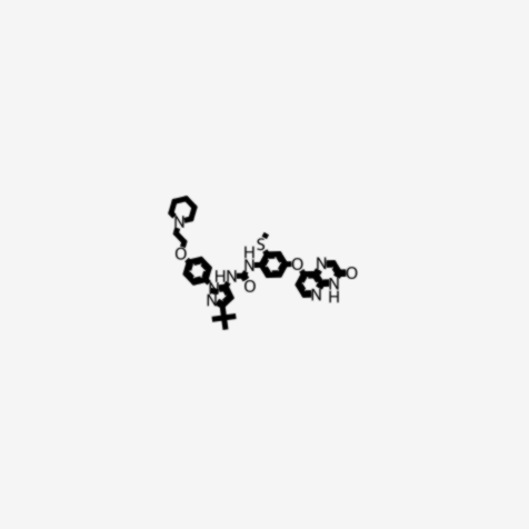 CSc1cc(Oc2ccnc3[nH]c(=O)cnc23)ccc1NC(=O)Nc1cc(C(C)(C)C)nn1-c1ccc(OCCN2CCCCC2)cc1